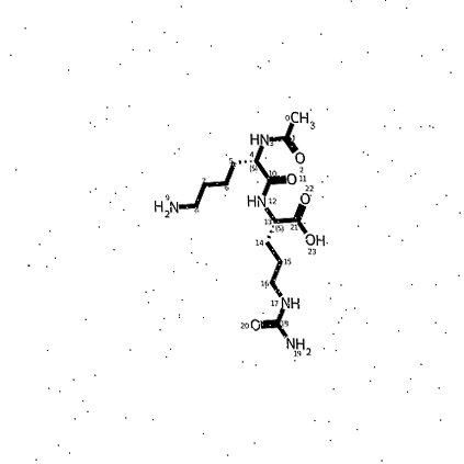 CC(=O)N[C@@H](CCCCN)C(=O)N[C@@H](CCCNC(N)=O)C(=O)O